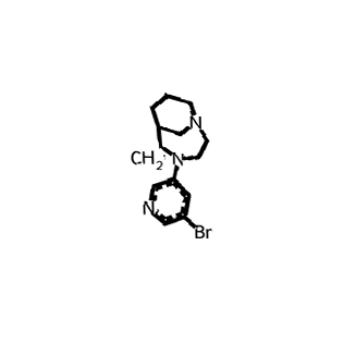 Brc1cncc(N2CCN3CCCC(C3)C2)c1.[CH2]